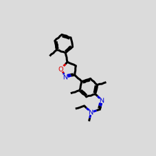 CCN(C)/C=N\c1cc(C)c(C2=NOC(c3ccccc3C)C2)cc1C